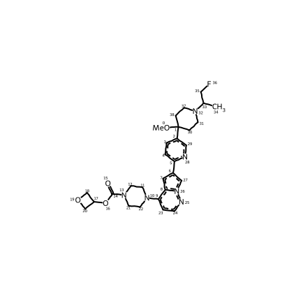 COC1(c2ccc(-c3cc4c(N5CCN(C(=O)OC6COC6)CC5)ccnn4c3)nc2)CCN(C(C)CF)CC1